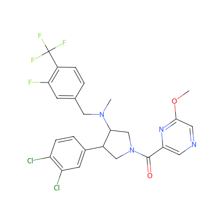 COc1cncc(C(=O)N2CC(c3ccc(Cl)c(Cl)c3)C(N(C)Cc3ccc(C(F)(F)F)c(F)c3)C2)n1